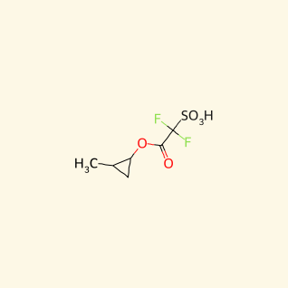 CC1CC1OC(=O)C(F)(F)S(=O)(=O)O